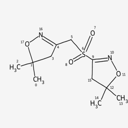 CC1(C)CC(CS(=O)(=O)C2=NOC(C)(C)C2)=NO1